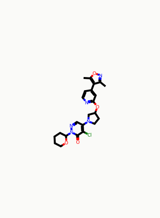 Cc1noc(C)c1-c1ccnc(OC2CCN(c3cnn(C4CCCCO4)c(=O)c3Cl)C2)c1